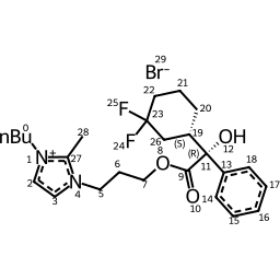 CCCC[n+]1ccn(CCCOC(=O)[C@](O)(c2ccccc2)[C@H]2CCCC(F)(F)C2)c1C.[Br-]